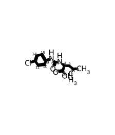 CC(C)CC(NC(=O)Nc1ccc(Cl)cc1)C(=O)O